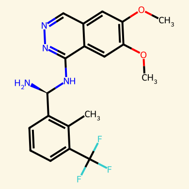 COc1cc2cnnc(N[C@H](N)c3cccc(C(F)(F)F)c3C)c2cc1OC